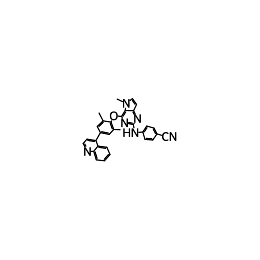 Cc1cc(-c2ccnc3ccccc23)cc(C)c1Oc1nc(Nc2ccc(C#N)cc2)nc2ccn(C)c12